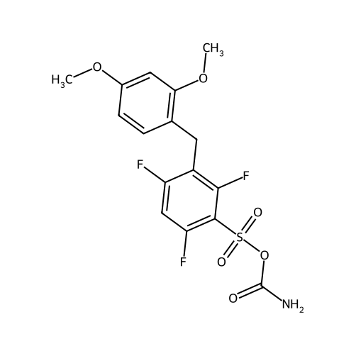 COc1ccc(Cc2c(F)cc(F)c(S(=O)(=O)OC(N)=O)c2F)c(OC)c1